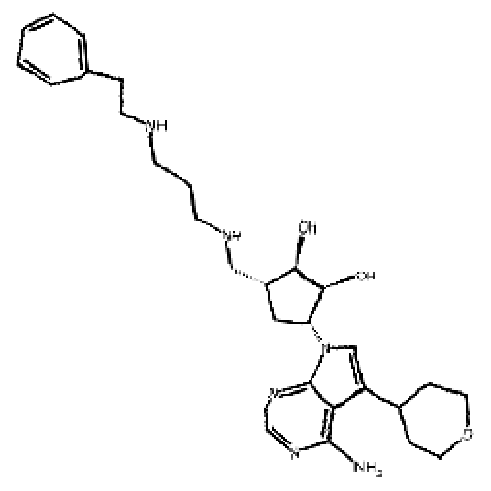 Nc1ncnc2c1c(C1CCOCC1)cn2[C@@H]1C[C@H](CNCCCNCCc2ccccc2)[C@@H](O)[C@H]1O